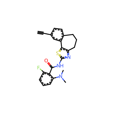 C#Cc1ccc2c(c1)-c1sc(NC(=O)c3c(F)cccc3N(C)C)nc1CCC2